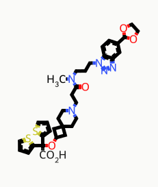 CN(CCCn1nnc2cc(C3OCCO3)ccc21)C(=O)CCN1CCC2(CC1)CC(OC(C(=O)O)(c1cccs1)c1cccs1)C2